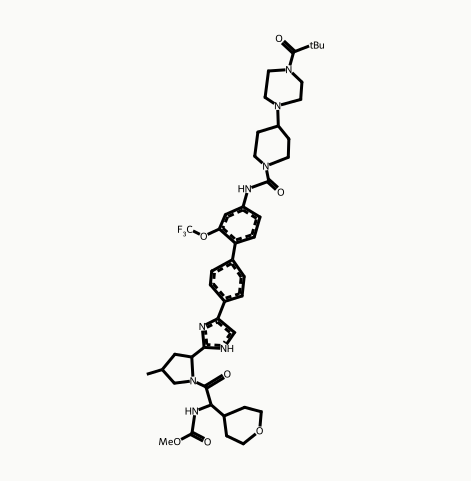 COC(=O)NC(C(=O)N1CC(C)CC1c1nc(-c2ccc(-c3ccc(NC(=O)N4CCC(N5CCN(C(=O)C(C)(C)C)CC5)CC4)cc3OC(F)(F)F)cc2)c[nH]1)C1CCOCC1